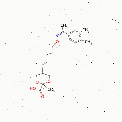 C/C(=N/OCCCCCC1COC(C)(C(=O)O)OC1)c1ccc(C)c(C)c1